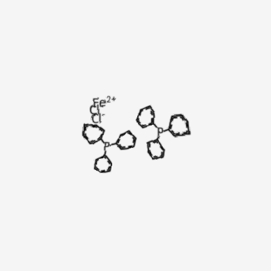 [Cl-].[Cl-].[Fe+2].c1ccc(P(c2ccccc2)c2ccccc2)cc1.c1ccc(P(c2ccccc2)c2ccccc2)cc1